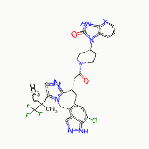 CC(C)(c1cnc2n1Cc1c(cc(Cl)c3[nH]ncc13)C[C@H]2CC(=O)N1CCC(n2c(=O)[nH]c3ncccc32)CC1)C(F)(F)F